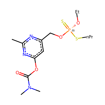 CCCS[P@@](=S)(OCC)OCc1cc(OC(=O)N(C)C)nc(C)n1